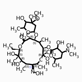 CC[C@H]1OC(=O)[C@H](C)[C@@H](OC2CC(C)(OC)C(O)C(C)O2)C(C)[C@@H](OC2OC(C)CC(N(C)C)C2O)[C@](C)(O)C[C@@H](C)/C(=N\O)[C@H](C)[C@@H](O)[C@]1(C)O